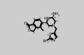 Cc1c([C@@H]2CN(Cc3cnc(Br)s3)C[C@H](N)N2)ccc2c1COC2=O